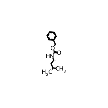 CC(C)C[CH]NC(=O)OCc1ccccc1